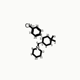 CC1(C)CC[C@@H](CN2CCCCC2)[C@H](c2ccc(Cl)cc2)C1